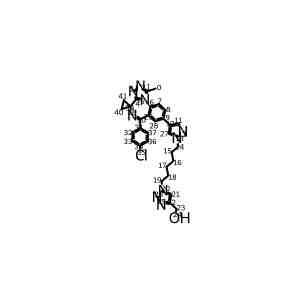 Cc1nnc2n1-c1ccc(-c3cnn(CCCCCCn4cc(CO)nn4)c3)cc1C(c1ccc(Cl)cc1)=NC21CC1